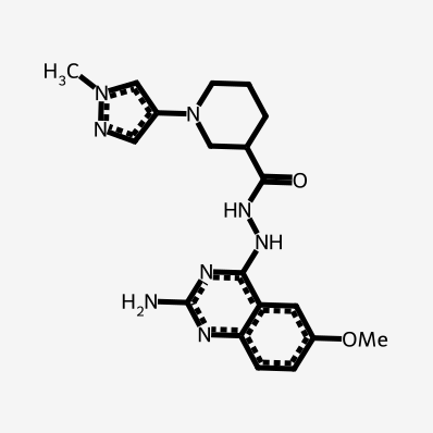 COc1ccc2nc(N)nc(NNC(=O)C3CCCN(c4cnn(C)c4)C3)c2c1